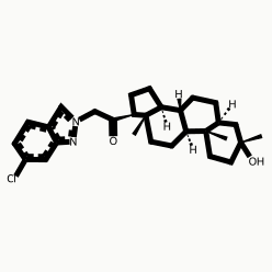 C[C@@]1(O)CC[C@@]2(C)[C@@H](CC[C@@H]3[C@@H]2CC[C@]2(C)[C@@H](C(=O)Cn4cc5ccc(Cl)cc5n4)CC[C@@H]32)C1